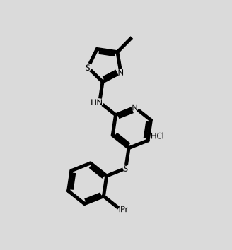 Cc1csc(Nc2cc(Sc3ccccc3C(C)C)ccn2)n1.Cl